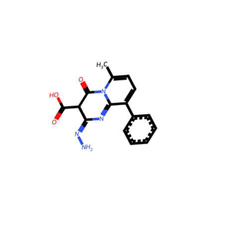 CC1=CC=C(c2ccccc2)C2=NC(=NN)C(C(=O)O)C(=O)N12